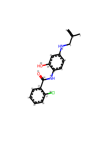 C=C(C)CNc1ccc(NC(=O)c2ccccc2Cl)c(O)c1